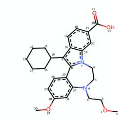 COCCN1CCn2c(c(C3CCCCC3)c3ccc(C(=O)O)cc32)-c2ccc(OC)cc21